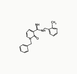 Cc1ccccc1CNC(=N)c1cccn(Cc2ccccc2)c1=O